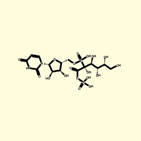 O=C(OP(=O)(O)O)[C@](O)([C@@H](O)[C@@H](O)[C@H](O)CO)P(=O)(O)OC[C@H]1O[C@@H](n2ccc(=O)[nH]c2=O)[C@H](O)[C@@H]1O